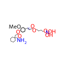 COc1cc(/C=C/C(=O)OCCCCON(O)O)ccc1OC(=O)CC1(CN)CCCCC1